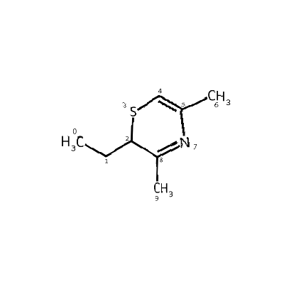 CCC1SC=C(C)N=C1C